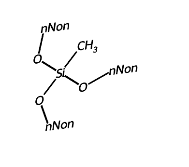 CCCCCCCCCO[Si](C)(OCCCCCCCCC)OCCCCCCCCC